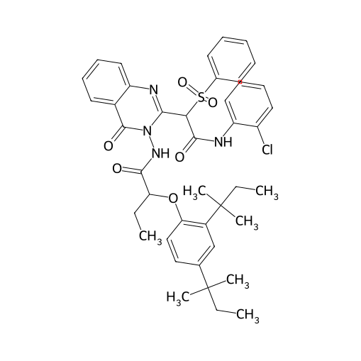 CCC(Oc1ccc(C(C)(C)CC)cc1C(C)(C)CC)C(=O)Nn1c(C(C(=O)Nc2ccccc2Cl)S(=O)(=O)c2ccccc2)nc2ccccc2c1=O